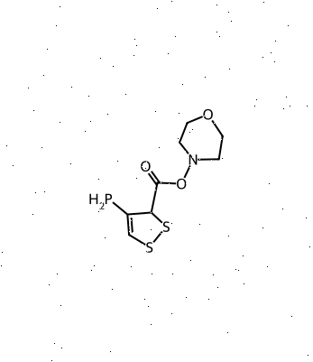 O=C(ON1CCOCC1)C1SSC=C1P